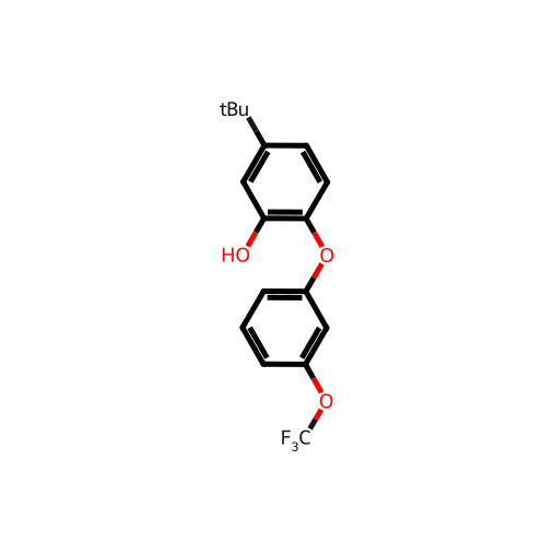 CC(C)(C)c1ccc(Oc2cccc(OC(F)(F)F)c2)c(O)c1